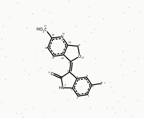 O=C1Nc2ccc(F)cc2/C1=C1\OCc2nc(C(=O)O)ccc21